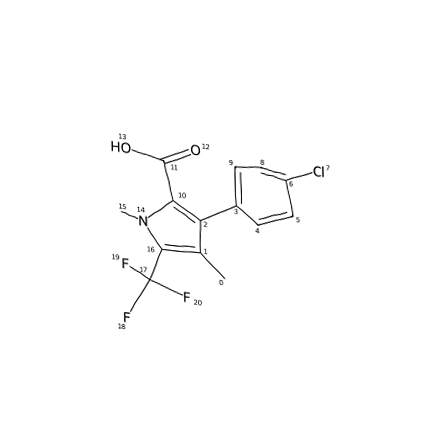 Cc1c(-c2ccc(Cl)cc2)c(C(=O)O)n(C)c1C(F)(F)F